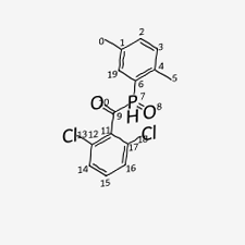 Cc1ccc(C)c([PH](=O)C(=O)c2c(Cl)cccc2Cl)c1